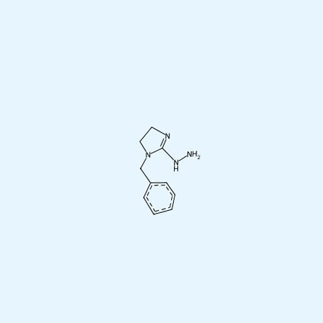 NNC1=NCCN1Cc1ccccc1